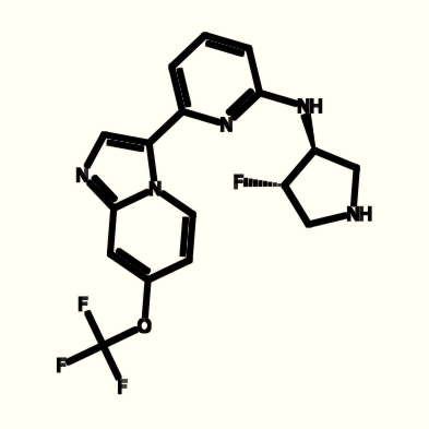 F[C@H]1CNC[C@@H]1Nc1cccc(-c2cnc3cc(OC(F)(F)F)ccn23)n1